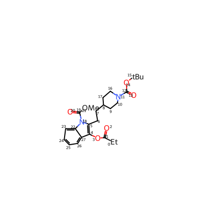 CCC(=O)Oc1c(CCC2CCN(C(=O)OC(C)(C)C)CC2)n(C(=O)OC)c2ccccc12